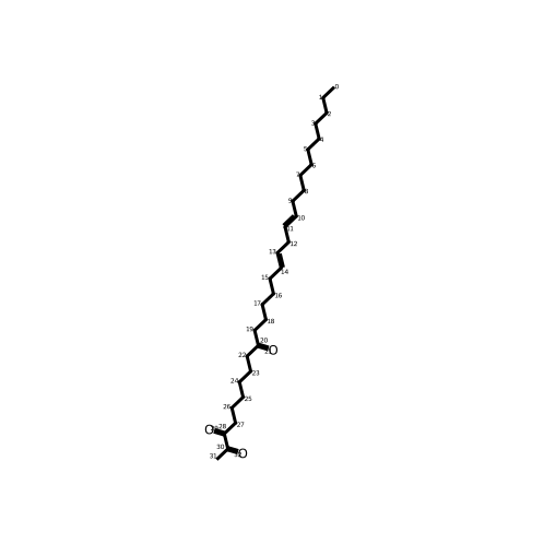 CCCCCCCCCC/C=C/C/C=C/CCCCCC(=O)CCCCCCC(=O)C(C)=O